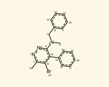 Cc1nnc(N(C)Cc2ccccc2)c(-c2ccccc2)c1Br